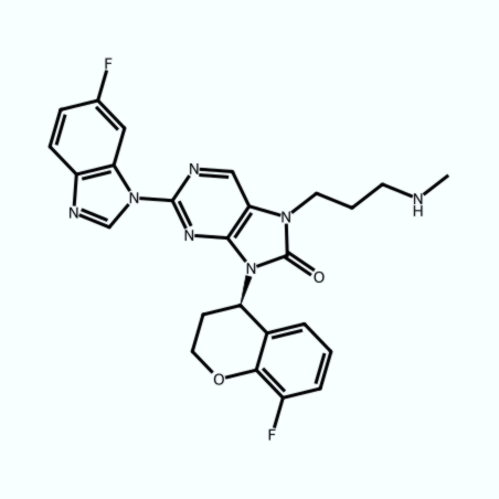 CNCCCn1c(=O)n([C@@H]2CCOc3c(F)cccc32)c2nc(-n3cnc4ccc(F)cc43)ncc21